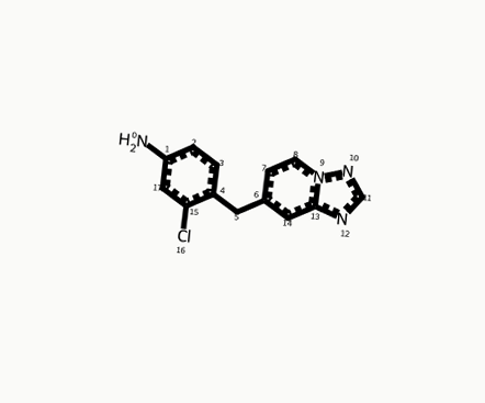 Nc1ccc(Cc2ccn3ncnc3c2)c(Cl)c1